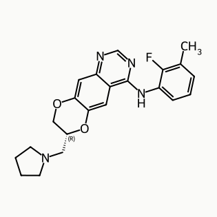 Cc1cccc(Nc2ncnc3cc4c(cc23)O[C@H](CN2CCCC2)CO4)c1F